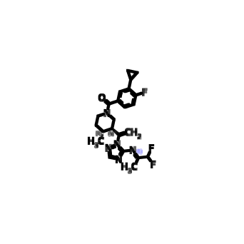 C=C([C@@H]1CN(C(=O)c2ccc(F)c(C3CC3)c2)CC[C@H]1C)n1ncnc1/N=C(\C)C(F)F